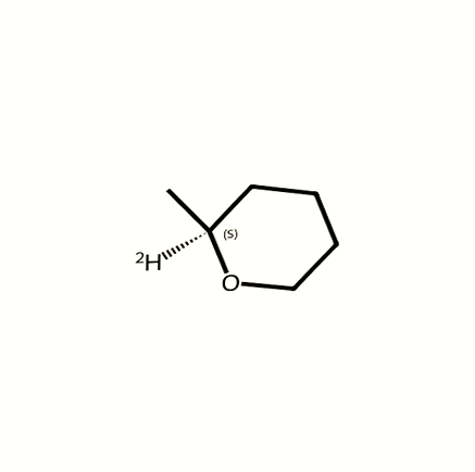 [2H][C@]1(C)CCCCO1